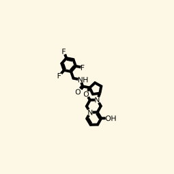 O=C(NCc1c(F)cc(F)cc1F)C12CCC(C1)N1CC3=C(O)CC=CN3CC1O2